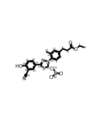 CCOC(=O)CCc1ccc(N2CSC(c3ccc(O)c(C#N)c3)=N2)c(C)c1.ClB(Cl)Cl